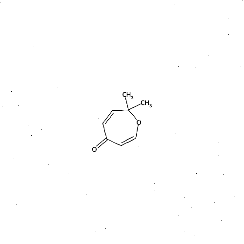 CC1(C)C=CC(=O)C=CO1